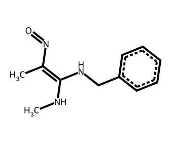 CNC(NCc1ccccc1)=C(C)N=O